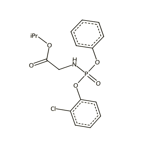 CC(C)OC(=O)CNP(=O)(Oc1ccccc1)Oc1ccccc1Cl